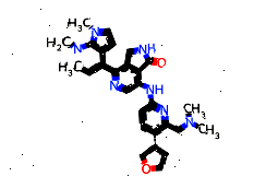 C=Nc1c(/C(=C\C)c2ncc(Nc3ccc([C@@H]4CCOC4)c(CN(C)C)n3)c3c2CNC3=O)ccn1C